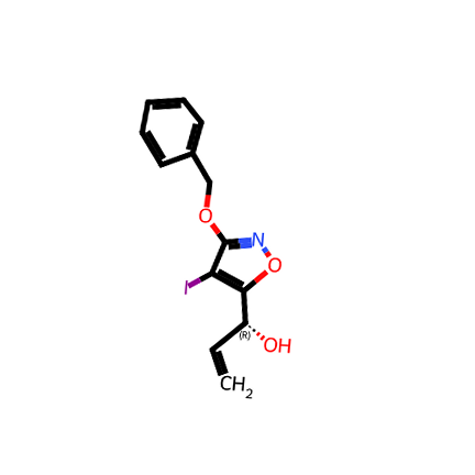 C=C[C@@H](O)c1onc(OCc2ccccc2)c1I